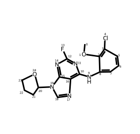 COc1c(Cl)cccc1Nc1nc(F)nc2c1ncn2C1CCCO1